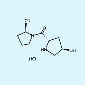 Cl.N#C[C@@H]1CCCN1C(=O)[C@@H]1C[C@@H](O)CN1